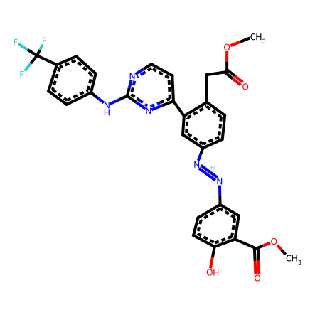 COC(=O)Cc1ccc(/N=N/c2ccc(O)c(C(=O)OC)c2)cc1-c1ccnc(Nc2ccc(C(F)(F)F)cc2)n1